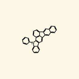 c1ccc(-n2c3ccccc3c3cc4c5c(cccc5c32)-c2cc3ccccc3cc2-4)cc1